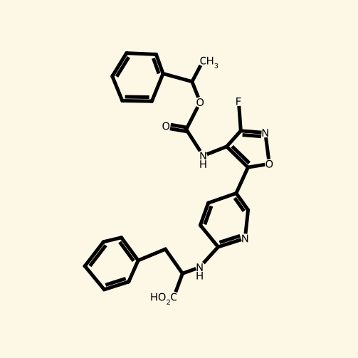 CC(OC(=O)Nc1c(F)noc1-c1ccc(NC(Cc2ccccc2)C(=O)O)nc1)c1ccccc1